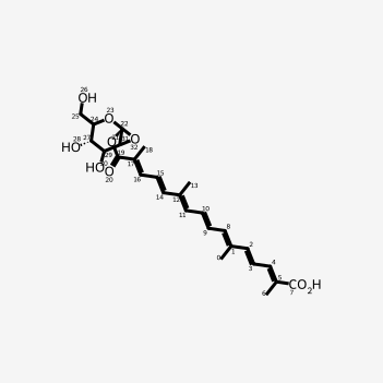 CC(/C=C/C=C(\C)C(=O)O)=C\C=C\C=C(C)\C=C\C=C(/C)C(=O)O[C@]12OC(CO)[C@@H](O)C(O)C1O2